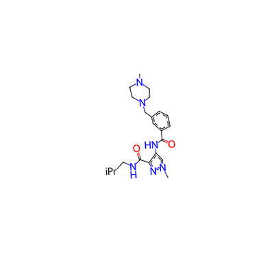 CC(C)CNC(=O)c1nn(C)cc1NC(=O)c1cccc(CN2CCN(C)CC2)c1